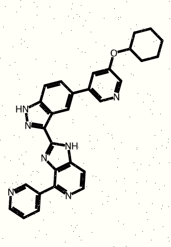 c1cncc(-c2nccc3[nH]c(-c4n[nH]c5ccc(-c6cncc(OC7CCCCC7)c6)cc45)nc23)c1